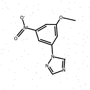 COc1cc(-n2cncn2)cc([N+](=O)[O-])c1